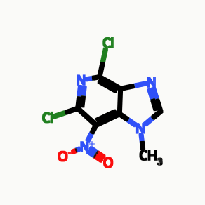 Cn1cnc2c(Cl)nc(Cl)c([N+](=O)[O-])c21